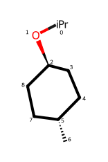 CC(C)O[C@H]1CC[C@H](C)CC1